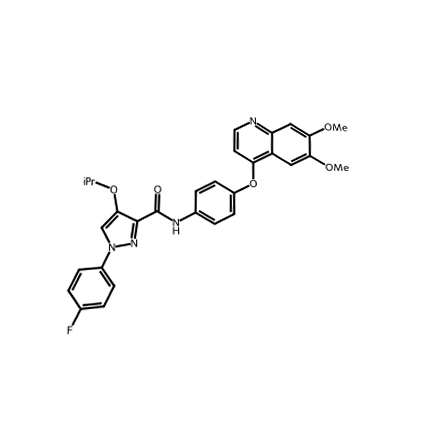 COc1cc2nccc(Oc3ccc(NC(=O)c4nn(-c5ccc(F)cc5)cc4OC(C)C)cc3)c2cc1OC